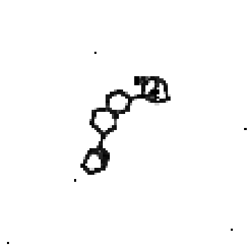 C1CC2CNC1CN2C1CCC2CCC(C3CC4CCC3O4)CN2C1